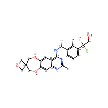 Cc1nc(NC(C)c2cccc(C(F)(F)CO)c2C)c2cc3c(cc2n1)OCC1(COC1)CO3